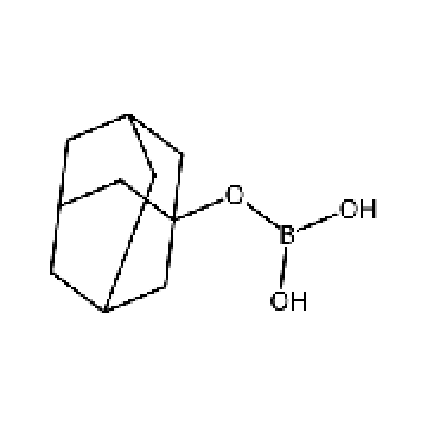 OB(O)OC12CC3CC(CC(C3)C1)C2